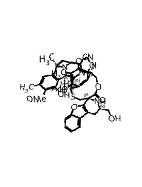 COc1c(C)cc2c(c1O)[C@@H]1[C@@H]3[C@@H]4SC[C@]5(N[C@@H](CO)Cc6c5oc5ccccc65)C(=O)OC[C@@H](c5c6c(c(C)c(OC(C)=O)c54)OCO6)N3C3(C#N)CN1[C@]2(C)C3